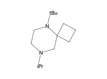 CC(C)N1CCN(C(C)(C)C)C2(CCC2)C1